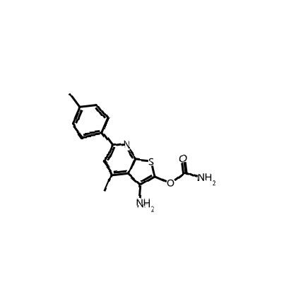 Cc1ccc(-c2cc(C)c3c(N)c(OC(N)=O)sc3n2)cc1